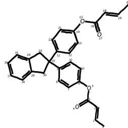 CC=CC(=O)Oc1ccc(C2(c3ccc(OC(=O)C=CC)cc3)Cc3ccccc3C2)cc1